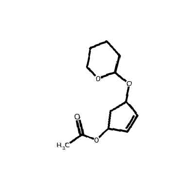 CC(=O)OC1C=CC(OC2CCCCO2)C1